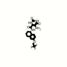 Nc1c(C(=O)N[C@H]2CCCc3cc(OCC(F)(F)F)ccc32)[nH]c(=O)[nH]c1=O